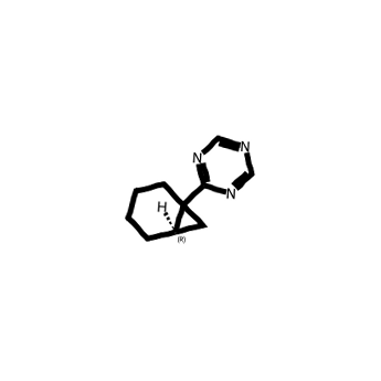 c1ncnc(C23CCCC[C@@H]2C3)n1